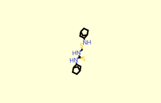 S=C(NCSNC1CC2CCC1C2)NC1CC2CCC1C2